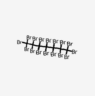 BrC(Br)(Br)C(Br)(Br)C(Br)(Br)C(Br)(Br)C(Br)(Br)C(Br)(Br)C(Br)(Br)Br